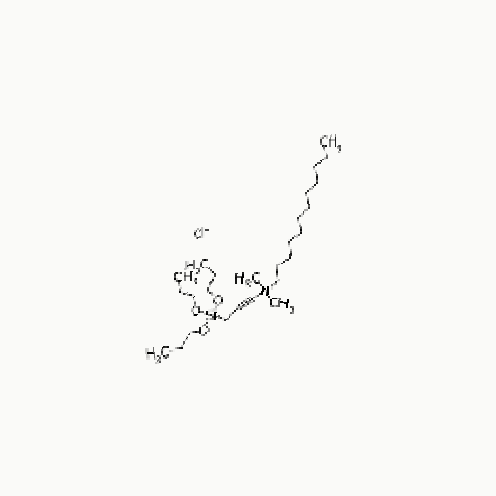 CCCCCCCCCCCC[N+](C)(C)C#CC[Si](OCCC)(OCCC)OCCC.[Cl-]